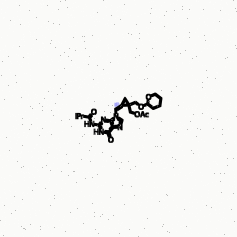 CC(=O)OCC1(COC2CCCCO2)C/C1=C/n1cnc2c(=O)[nH]c(NC(=O)C(C)C)nc21